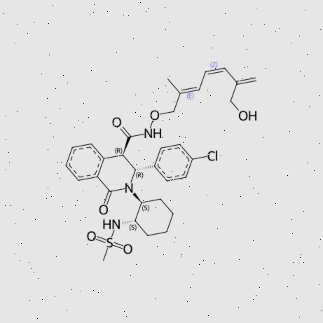 C=C(/C=C\C=C(/C)CONC(=O)[C@@H]1c2ccccc2C(=O)N([C@H]2CCCC[C@@H]2NS(C)(=O)=O)[C@H]1c1ccc(Cl)cc1)CO